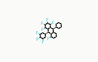 Fc1cc(-c2c3c(F)cccc3c(-c3ccccc3)c3c(F)c(F)c(F)c(F)c23)cc(F)c1F